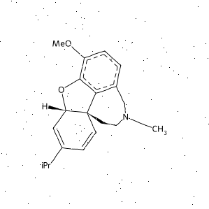 COc1ccc2c3c1O[C@H]1C=C(C(C)C)C=C[C@@]31CCN(C)C2